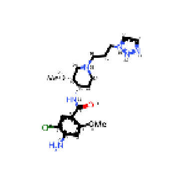 COc1cc(N)c(Cl)cc1C(=O)N[C@H]1CCN(CCCn2ccnn2)C[C@H]1OC